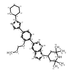 COCOc1cc(-c2cnn(C3CCCCO3)c2)ccc1-c1cc2ncn(C3CC(C)(C)NC(C)(C)C3)c2nn1